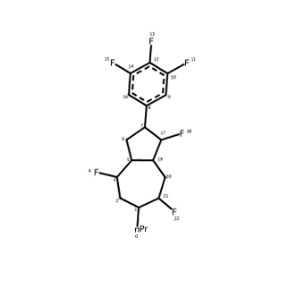 CCCC1CC(F)C2CC(c3cc(F)c(F)c(F)c3)C(F)C2CC1F